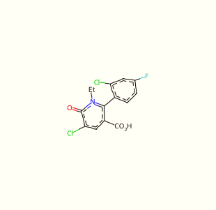 CCn1c(-c2ccc(F)cc2Cl)c(C(=O)O)cc(Cl)c1=O